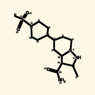 CC1NN2CCC(C3CCN(S(C)(=O)=O)CC3)CC2C1C(N)=O